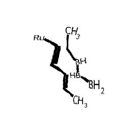 BBBCC.CC=CC=[CH][Ru]